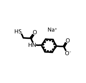 O=C(CS)Nc1ccc(C(=O)[O-])cc1.[Na+]